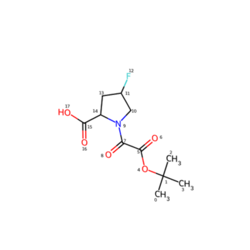 CC(C)(C)OC(=O)C(=O)N1CC(F)CC1C(=O)O